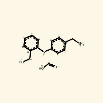 NCc1ccc(Sc2ccccc2CO)cc1.O=CO